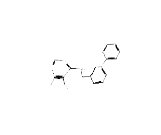 O=C(O)c1ncnc(NCc2cccc(-c3ccccc3)c2)c1Br